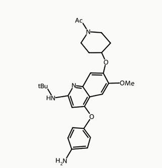 COc1cc2c(Oc3ccc(N)cc3)cc(NC(C)(C)C)nc2cc1OC1CCN(C(C)=O)CC1